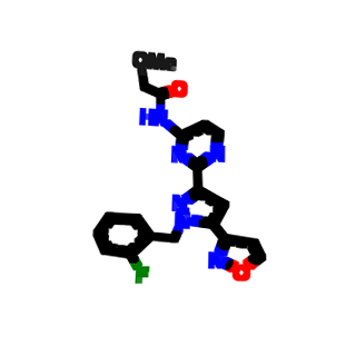 COCC(=O)Nc1ccnc(-c2cc(-c3ccon3)n(Cc3ccccc3F)n2)n1